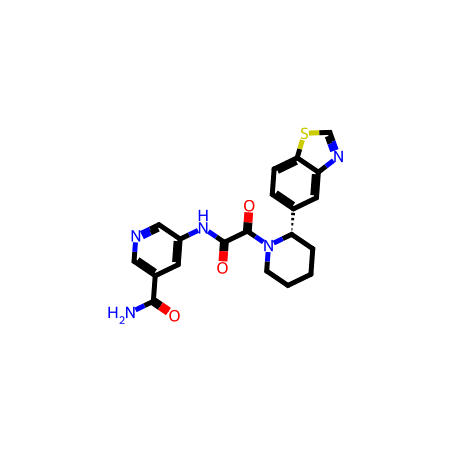 NC(=O)c1cncc(NC(=O)C(=O)N2CCCC[C@H]2c2ccc3scnc3c2)c1